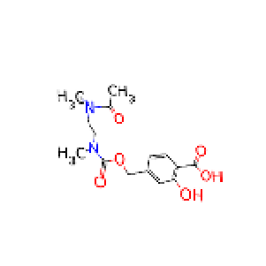 CC(=O)N(C)CCN(C)C(=O)OCc1ccc(C(=O)O)c(O)c1